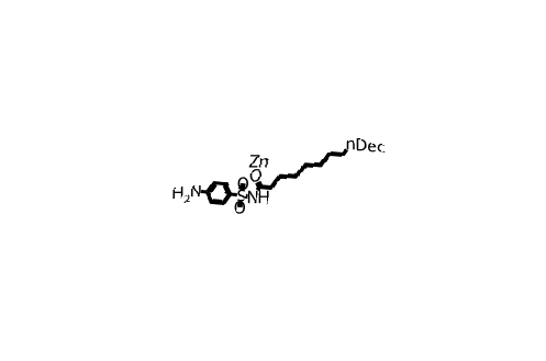 CCCCCCCCCCCCCCCCCC(=O)NS(=O)(=O)c1ccc(N)cc1.[Zn]